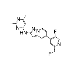 Cc1cc(Nc2cc3cc(-c4cc(CF)ncc4F)ccn3n2)nc(C)n1